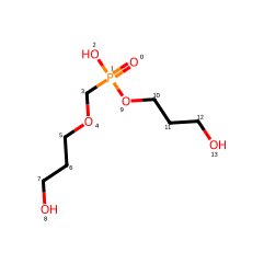 O=P(O)(COCCCO)OCCCO